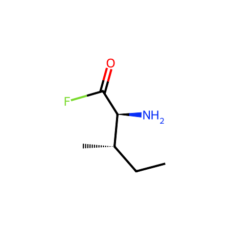 CC[C@H](C)[C@H](N)C(=O)F